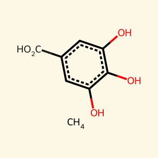 C.O=C(O)c1cc(O)c(O)c(O)c1